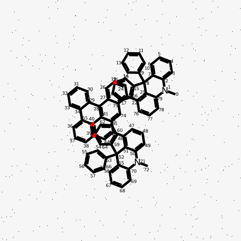 CN1c2ccccc2C(c2ccccc2)(c2ccccc2)c2c(-c3cccc4c(-c5ccccc5-c5ccccc5)c5cccc(-c6cccc7c6C(c6ccccc6)(c6ccccc6)c6ccccc6N7C)c5cc34)cccc21